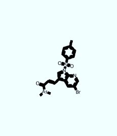 Cc1ccc(S(=O)(=O)n2cc(C=CC(=O)[As](C)C)c3cc(Br)cnc32)cc1